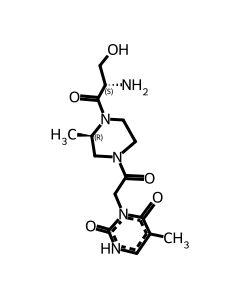 Cc1c[nH]c(=O)n(CC(=O)N2CCN(C(=O)[C@@H](N)CO)[C@H](C)C2)c1=O